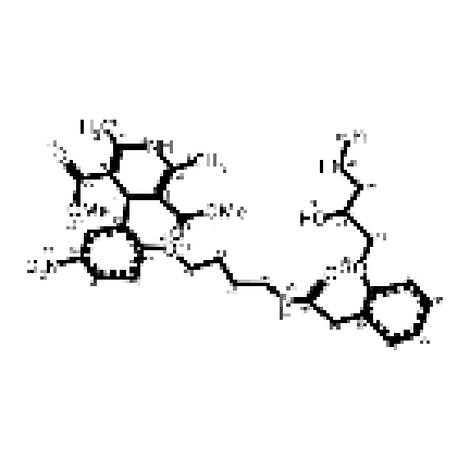 COC(=O)C1=C(C)NC(C)=C(C(=O)OC)C1c1cc([N+](=O)[O-])ccc1OCCCCNC(=O)Cc1ccccc1OCC(O)CNC(C)C